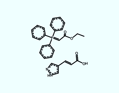 CCOC(=O)C=P(c1ccccc1)(c1ccccc1)c1ccccc1.O=C(O)C=Cc1cn[nH]c1